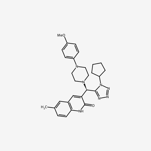 COc1ccc(N2CCN([C@H](c3cc4cc(C)ccc4[nH]c3=O)c3nnnn3C3CCCC3)CC2)cc1